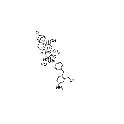 C[C@]12C=CC(=O)C=C1CC[C@@H]1[C@@H]2[C@@H](O)C[C@@]2(C)[C@H]1C[C@H]1O[C@@H](c3ccc(Cc4ccc(N)cc4CO)cc3)O[C@]12C(=O)CO